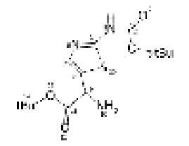 CC(C)(C)OC(=O)Nc1ncc(C(N)C(=O)OC(C)(C)C)s1